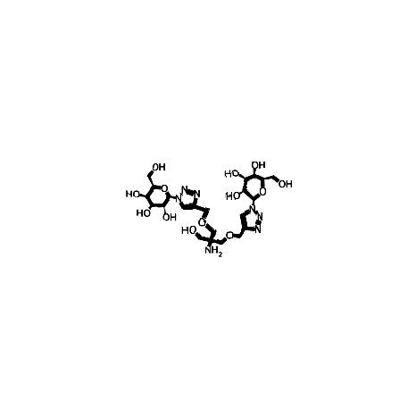 NC(CO)(COCc1cn([C@@H]2O[C@H](CO)[C@H](O)[C@H](O)[C@H]2O)nn1)COCc1cn([C@@H]2O[C@H](CO)[C@H](O)[C@H](O)[C@H]2O)nn1